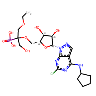 O=P(O)(O)C(CO)(COCC(F)(F)F)OC[C@H]1O[C@@H](n2ncc3c(NC4CCCC4)nc(Cl)nc32)[C@H](O)[C@@H]1O